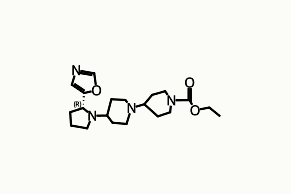 CCOC(=O)N1CCC(N2CCC(N3CCC[C@@H]3c3cnco3)CC2)CC1